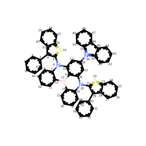 c1ccc(-c2c(N3c4ccccc4B4c5ccccc5N(c5sc6ccccc6c5-c5ccccc5)c5cc(-n6c7ccccc7c7ccccc76)cc3c54)sc3ccccc23)cc1